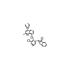 C=CN(/C=C\C)c1cc(C)nc2c(OCc3c(Cl)cncc3CN3Cc4ccccc4C3=O)cccc12